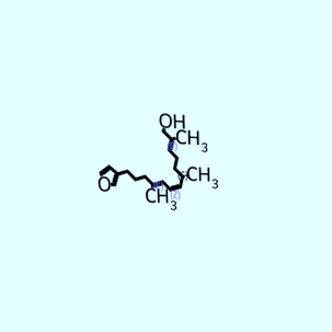 C/C(=C\CC[C@H](C)/C=C\C=C(/C)CCCc1ccoc1)CO